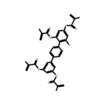 C=C(C)C(=O)Oc1cc(OC(=O)C(=C)C)cc(-c2ccc(-c3c(F)cc(OC(=O)C(=C)C)cc3OC(=O)C(=C)C)cc2)c1